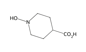 O=C(O)C1CCN(O)CC1